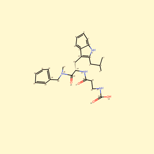 CC(C)Cc1[nH]c2ccccc2c1C[C@H](NC(=O)CCNC(=O)O)C(=O)N(C)Cc1ccccc1